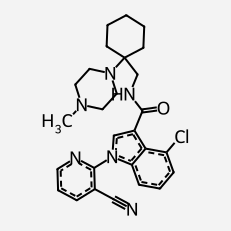 CN1CCN(C2(CNC(=O)c3cn(-c4ncccc4C#N)c4cccc(Cl)c34)CCCCC2)CC1